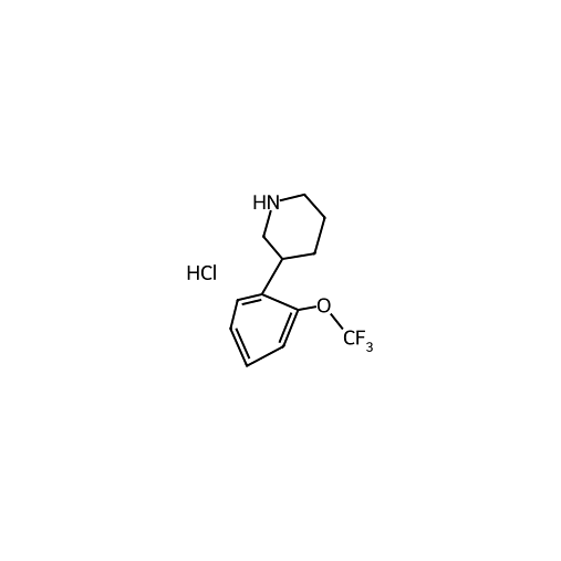 Cl.FC(F)(F)Oc1ccccc1C1CCCNC1